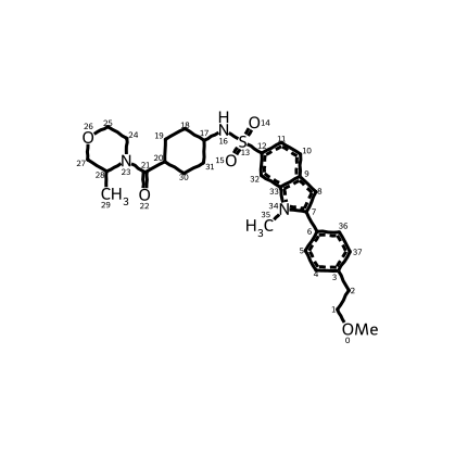 COCCc1ccc(-c2cc3ccc(S(=O)(=O)NC4CCC(C(=O)N5CCOCC5C)CC4)cc3n2C)cc1